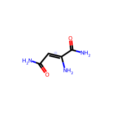 NC(=O)/C=C(\N)C(N)=O